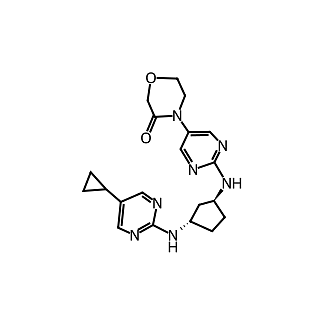 O=C1COCCN1c1cnc(N[C@H]2CC[C@H](Nc3ncc(C4CC4)cn3)C2)nc1